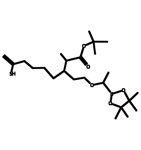 C=C(S)CCCCC(CCOC(C)B1OC(C)(C)C(C)(C)O1)C(C)C(=O)OC(C)(C)C